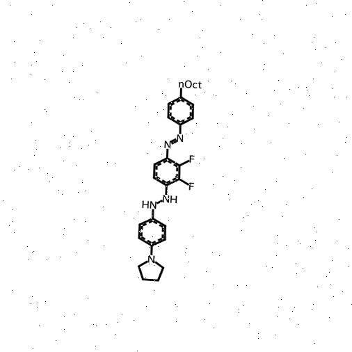 CCCCCCCCc1ccc(/N=N/c2ccc(NNc3ccc(N4CCCC4)cc3)c(F)c2F)cc1